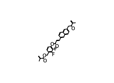 C=C(C)C(=O)Cc1ccc2cc(/C=C/C(=O)Oc3ccc(COC(=O)C(=C)C)c(F)c3F)ccc2c1